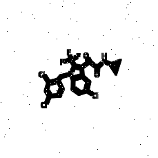 O=C(NC1CC1)C(=O)c1c(C(F)(F)F)n(Cc2ccc(Cl)cc2Cl)c2ccc(Cl)cc12